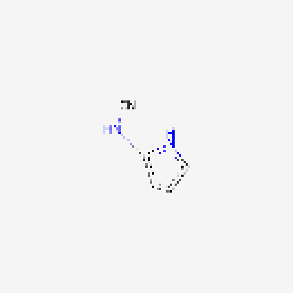 N#CNc1ccc[nH]1